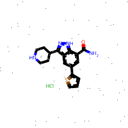 Cl.NC(=O)c1cc(-c2cccs2)cc2c(C3CCNCC3)n[nH]c12